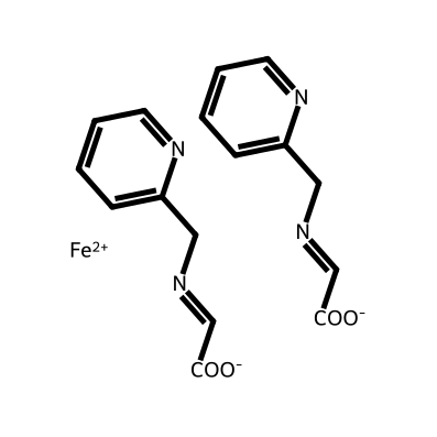 O=C([O-])C=NCc1ccccn1.O=C([O-])C=NCc1ccccn1.[Fe+2]